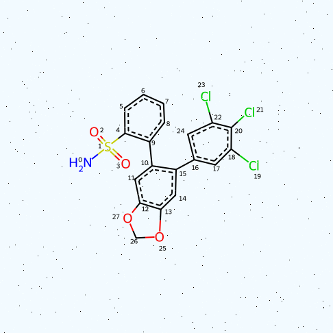 NS(=O)(=O)c1ccccc1-c1cc2c(cc1-c1cc(Cl)c(Cl)c(Cl)c1)OCO2